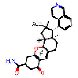 CC(=O)OC1(C)C[C@H]2[C@@H]3OC4=C(C=C3CC[C@]2(C)[C@H]1c1cccc2cnccc12)C(=O)CC(C(N)=O)C4